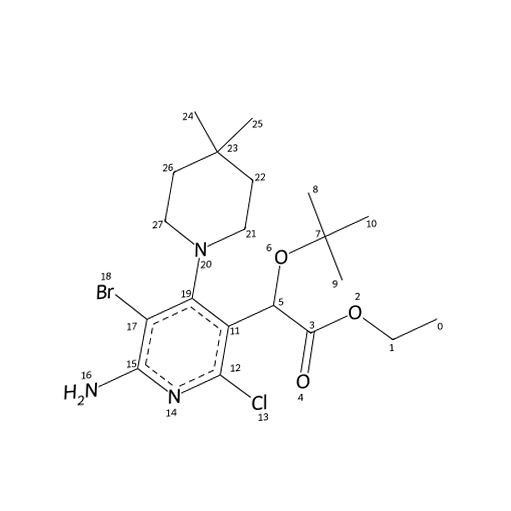 CCOC(=O)C(OC(C)(C)C)c1c(Cl)nc(N)c(Br)c1N1CCC(C)(C)CC1